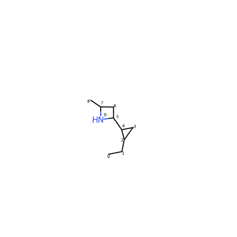 CCC1CC1C1CC(C)N1